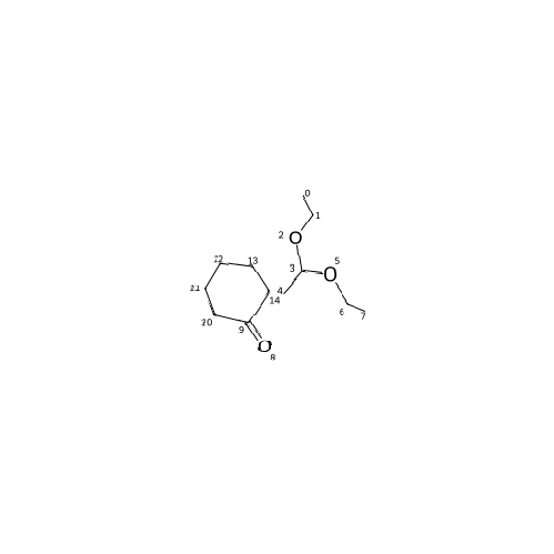 CCOC(C)OCC.O=C1CCCCC1